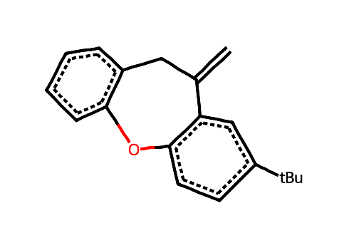 C=C1Cc2ccccc2Oc2ccc(C(C)(C)C)cc21